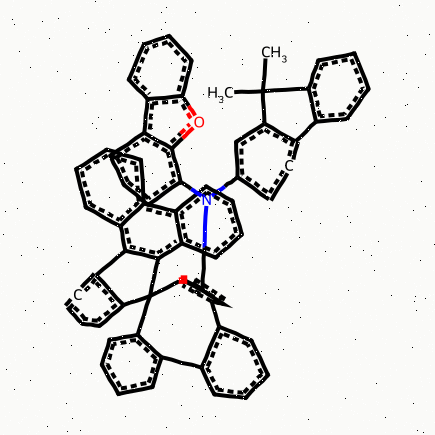 CC1(C)c2ccccc2-c2ccc(N(c3ccc4c(c3)C3(c5ccccc5-c5ccccc5-4)c4ccccc4-c4c3c3ccccc3c3ccccc43)c3cccc4c3oc3ccccc34)cc21